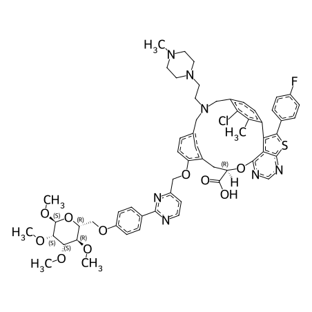 CO[C@H]1O[C@H](COc2ccc(-c3nccc(COc4ccc5cc4C[C@H](C(=O)O)Oc4ncnc6sc(-c7ccc(F)cc7)c(c46)-c4ccc(c(Cl)c4C)CN(CCN4CCN(C)CC4)C5)n3)cc2)[C@@H](OC)[C@H](OC)[C@@H]1OC